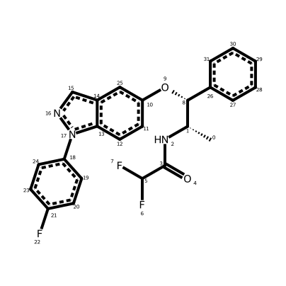 C[C@H](NC(=O)C(F)F)[C@H](Oc1ccc2c(cnn2-c2ccc(F)cc2)c1)c1ccccc1